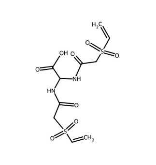 C=CS(=O)(=O)CC(=O)NC(NC(=O)CS(=O)(=O)C=C)C(=O)O